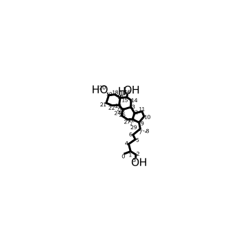 CC(CO)CCC[C@@H](C)C1CCC2C3CC(O)[C@H]4C[C@@H](O)CC[C@]4(C)C3CC[C@@]21C